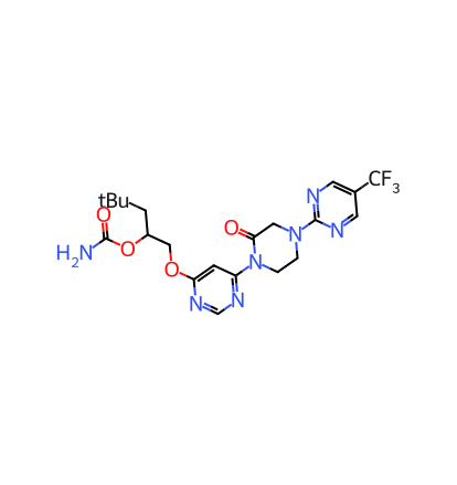 CC(C)(C)CC(COc1cc(N2CCN(c3ncc(C(F)(F)F)cn3)CC2=O)ncn1)OC(N)=O